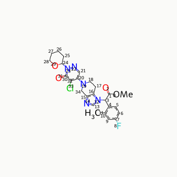 COC(=O)C(c1ccc(F)cc1C)n1cnc2c1CCN(c1cnn(C3CCCCO3)c(=O)c1Cl)C2